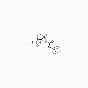 CC(C)(C)OC(=O)N1CCC[C@@H]2CN(C(=O)OC3C4CC5CC(C4)CC3C5)C[C@@H]21